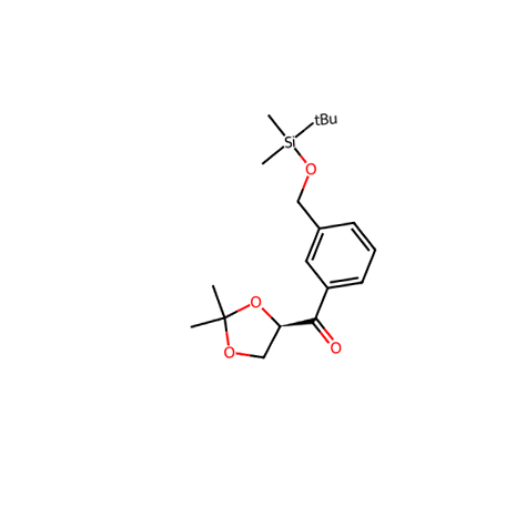 CC1(C)OC[C@H](C(=O)c2cccc(CO[Si](C)(C)C(C)(C)C)c2)O1